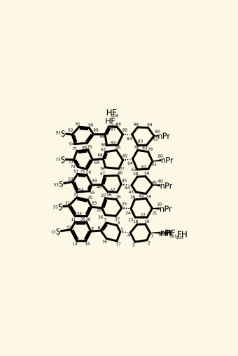 CCC[C@H]1CC[C@H](C2CC=C(c3ccc([S])cc3)CC2)CC1.CCC[C@H]1CC[C@H](C2CC=C(c3ccc([S])cc3)CC2)CC1.CCC[C@H]1CC[C@H](C2CC=C(c3ccc([S])cc3)CC2)CC1.CCC[C@H]1CC[C@H](C2CC=C(c3ccc([S])cc3)CC2)CC1.CCC[C@H]1CC[C@H](C2CC=C(c3ccc([S])cc3)CC2)CC1.F.F.F.F.F